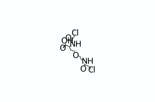 O=C(CCl)NCCOCCC(NC(=O)CCl)C(=O)O